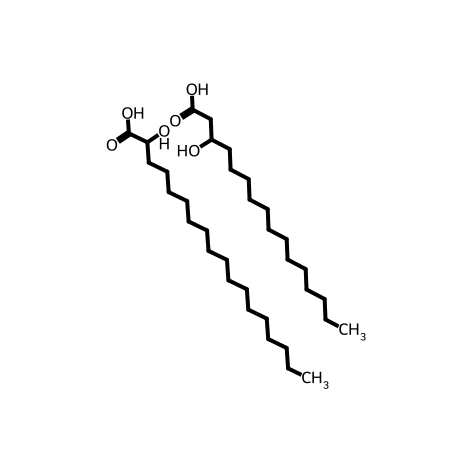 CCCCCCCCCCCCCC(O)CC(=O)O.CCCCCCCCCCCCCCCCC(O)C(=O)O